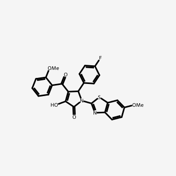 COc1ccc2nc(N3C(=O)C(O)=C(C(=O)c4ccccc4OC)C3c3ccc(F)cc3)sc2c1